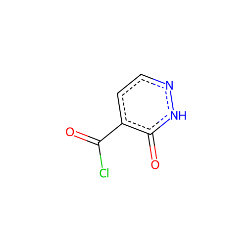 O=C(Cl)c1ccn[nH]c1=O